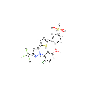 COc1ccc(Cl)c(-n2nc(C(F)(F)F)cc2-c2ccc(-c3cccc(S(C)(=O)=O)c3)s2)c1